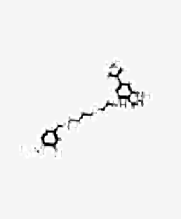 FC(F)(F)Oc1ccc(CNCCCCOCCNc2cc(-c3cnoc3)cc3[nH]ncc23)cc1Cl